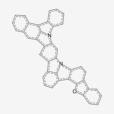 c1ccc2c(c1)cc1c3cc4c5cccc6c7c8oc9ccccc9c8ccc7n(c4cc3n3c4ccccc4c2c13)c56